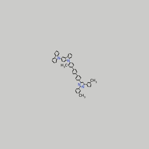 Cc1cccc(-c2cc(-c3ccc(-c4ccc(-c5ccc(-n6c7ccccc7c7cc(-n8c9ccccc9c9ccccc98)ccc76)c(C)c5)cc4)cc3)nc(-c3cccc(C)c3)n2)c1